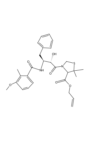 C=CCOC(=O)C1N(C(=O)[C@@H](O)[C@H](Cc2ccccc2)NC(=O)c2cccc(OC)c2C)CSC1(C)C